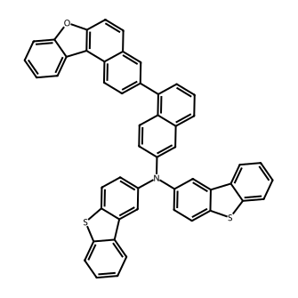 c1cc(-c2ccc3c(ccc4oc5ccccc5c43)c2)c2ccc(N(c3ccc4sc5ccccc5c4c3)c3ccc4sc5ccccc5c4c3)cc2c1